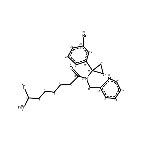 CCCC(F)CCCCCC(=O)N(Cc1ccccn1)C1(c2cccc(Br)c2)CC1